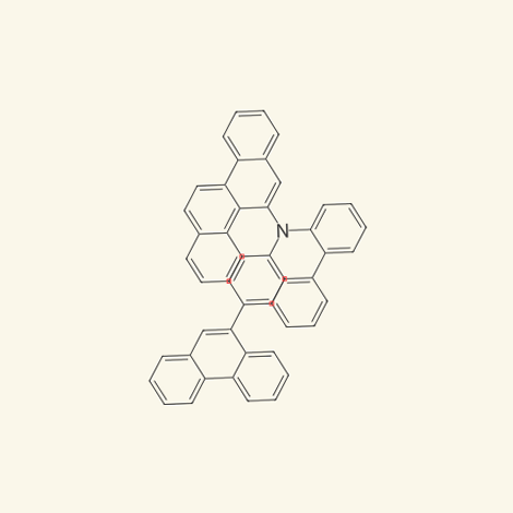 c1ccc(-c2ccccc2N(c2ccc(-c3cc4ccccc4c4ccccc34)cc2)c2cc3ccccc3c3ccc4ccccc4c23)cc1